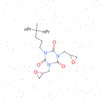 CCCC(C)(CCC)CCCn1c(=O)n(CC2CO2)c(=O)n(CC2CO2)c1=O